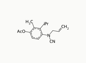 C=CCN(C#N)c1ccc(OC(C)=O)c(C)c1C(C)C